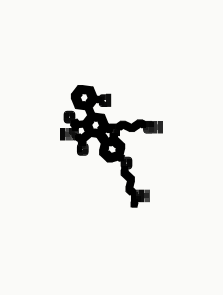 CNCCCOc1ccc2c3c4c(c(-c5ccccc5Cl)cc3n(CCCO)c2c1)C(=O)NC4=O